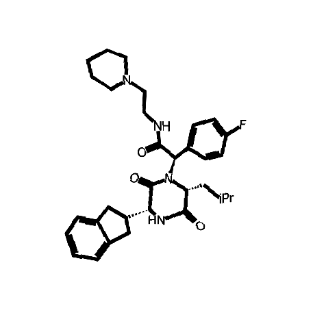 CC(C)C[C@@H]1C(=O)N[C@H](C2Cc3ccccc3C2)C(=O)N1[C@@H](C(=O)NCCN1CCCCC1)c1ccc(F)cc1